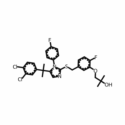 CC(C)(O)COc1cc(CSc2ncc(C(C)(C)c3ccc(Cl)c(Cl)c3)n2-c2ccc(F)cc2)ccc1F